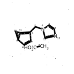 CC(=O)O.c1cn(Cc2ccc3cc2-3)cn1